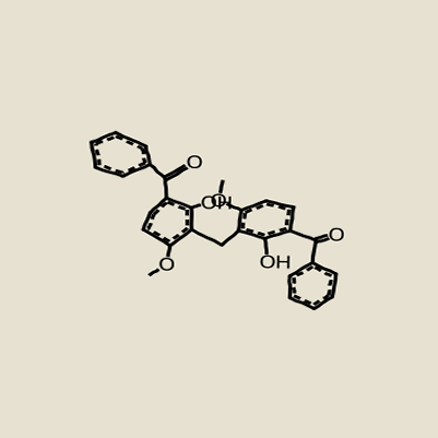 COc1ccc(C(=O)c2ccccc2)c(O)c1Cc1c(OC)ccc(C(=O)c2ccccc2)c1O